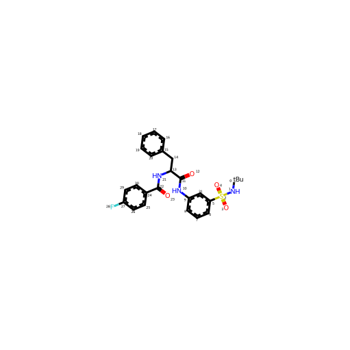 CC(C)(C)NS(=O)(=O)c1cccc(NC(=O)C(Cc2ccccc2)NC(=O)c2ccc(F)cc2)c1